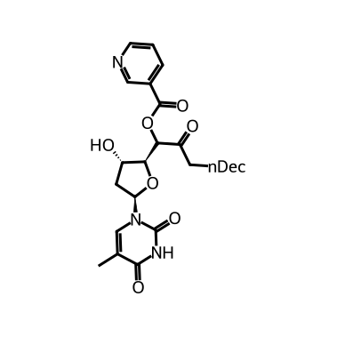 CCCCCCCCCCCC(=O)C(OC(=O)c1cccnc1)[C@H]1O[C@@H](n2cc(C)c(=O)[nH]c2=O)C[C@@H]1O